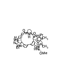 CCn1c(-c2cccnc2C(C)C)c2c3cc(ccc31)-c1cc(O)cc(c1)C[C@H](NC(=O)[C@H](C(C)C)N(C)C(=O)CN(C)C(=O)[C@@H]1N[C@H]1COC)C(=O)N1CCC[C@H](N1)C(=O)OCC(C)(C)C2